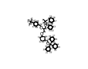 CC(C)(C)[Si](OCC(CO[C@@H]1CCC[C@H](COC(c2ccccc2)(c2ccccc2)c2ccccc2)C1)OCc1ccc(C(F)(F)F)cc1)(c1ccccc1)c1ccccc1